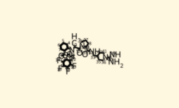 CC(Nc1ccccc1S(=O)(=O)c1c(F)c(F)c(F)c(F)c1F)C(=O)N1CCC[C@H]1C(=O)NCC1CCN(C(=N)N)CC1